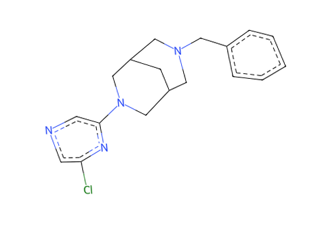 Clc1cncc(N2CC3CC(CN(Cc4ccccc4)C3)C2)n1